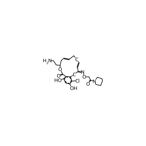 NCCC1C/C=C/CC/C=C/C(=NOCC(=O)N2CCCCC2)Cc2c(Cl)c(O)cc(O)c2C(=O)O1